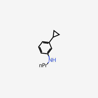 CCCNc1cccc(C2CC2)c1